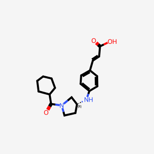 O=C(O)C=Cc1ccc(N[C@@H]2CCN(C(=O)C3CCCCC3)C2)cc1